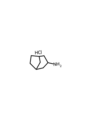 Cl.NC1CC2CCC(C1)C2